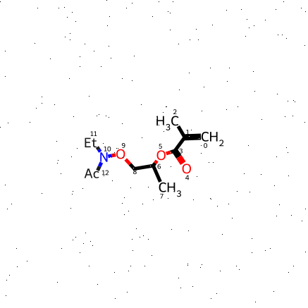 C=C(C)C(=O)OC(C)CON(CC)C(C)=O